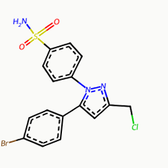 NS(=O)(=O)c1ccc(-n2nc(CCl)cc2-c2ccc(Br)cc2)cc1